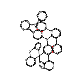 c1ccc(-c2cccc(-c3ccccc3)c2N(c2ccc3c(c2)C2(c4ccccc4Sc4ccccc42)c2cccc4cccc-3c24)c2ccc3c4ccccc4n(-c4ccccc4)c3c2)cc1